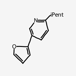 CCCC(C)c1ccc(-c2ccco2)cn1